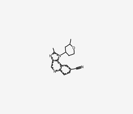 Cc1nc2cnc3ccc(C#N)cc3c2n1C1CCOC(C)C1